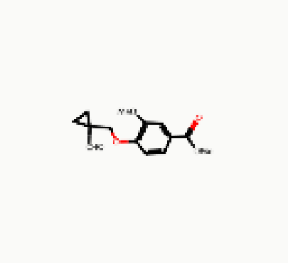 COC(=O)c1ccc(OCC2(C=O)CC2)c(OC)c1